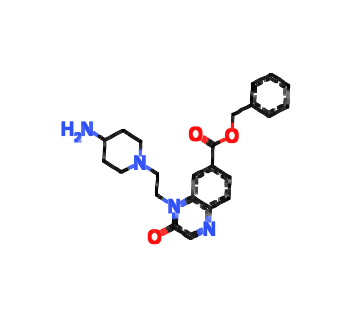 NC1CCN(CCn2c(=O)cnc3ccc(C(=O)OCc4ccccc4)cc32)CC1